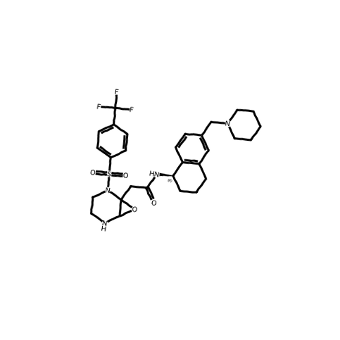 O=C(CC12OC1NCCN2S(=O)(=O)c1ccc(C(F)(F)F)cc1)N[C@@H]1CCCc2cc(CN3CCCCC3)ccc21